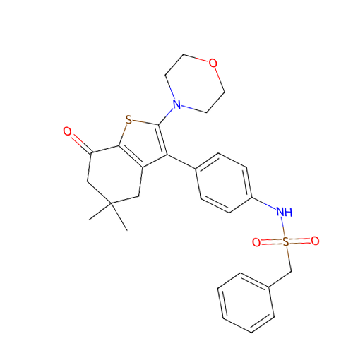 CC1(C)CC(=O)c2sc(N3CCOCC3)c(-c3ccc(NS(=O)(=O)Cc4ccccc4)cc3)c2C1